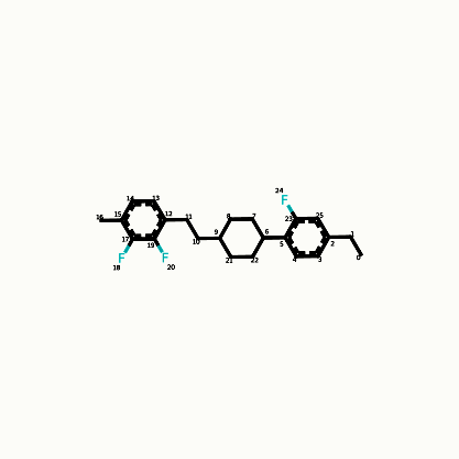 CCc1ccc(C2CCC(CCc3ccc(C)c(F)c3F)CC2)c(F)c1